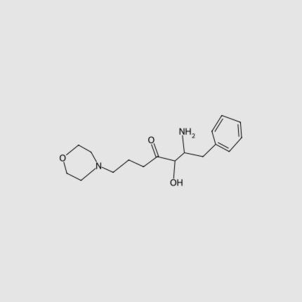 NC(Cc1ccccc1)C(O)C(=O)CCCN1CCOCC1